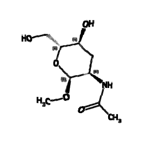 CO[C@H]1O[C@H](CO)[C@@H](O)C[C@H]1NC(C)=O